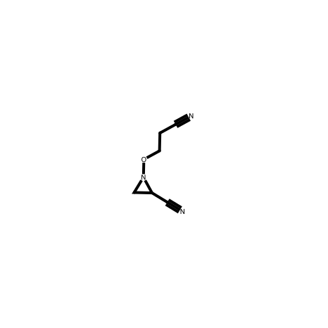 N#CCCON1CC1C#N